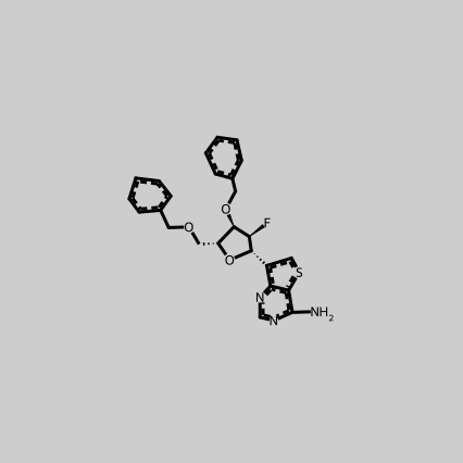 Nc1ncnc2c([C@@H]3O[C@H](COCc4ccccc4)[C@@H](OCc4ccccc4)[C@H]3F)csc12